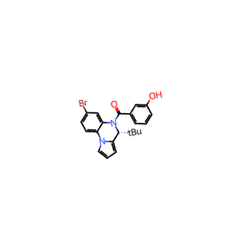 CC(C)(C)[C@@H]1c2cccn2-c2ccc(Br)cc2N1C(=O)c1cccc(O)c1